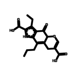 CCCC1=C2CC(C(=O)O)=COC2C(=O)c2c1[nH]c(C(=O)O)c2CC